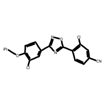 CC(C)Oc1ccc(-c2noc(-c3ccc(C#N)cc3Cl)n2)cc1Cl